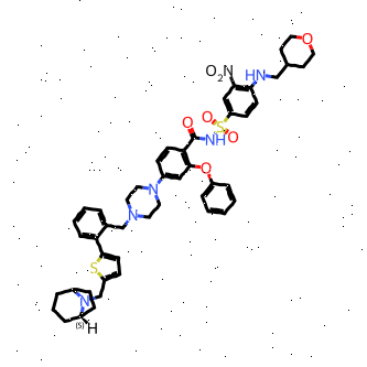 O=C(NS(=O)(=O)c1ccc(NCC2CCOCC2)c([N+](=O)[O-])c1)c1ccc(N2CCN(Cc3ccccc3-c3ccc(CN4C5CCC[C@H]4CC5)s3)CC2)cc1Oc1ccccc1